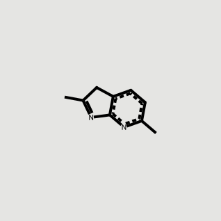 CC1=Nc2nc(C)ccc2C1